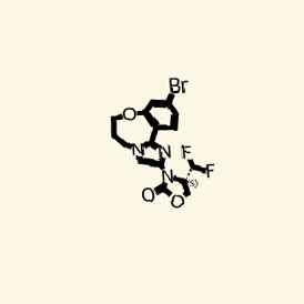 O=C1OC[C@@H](C(F)F)N1c1cn2c(n1)-c1ccc(Br)cc1OCCC2